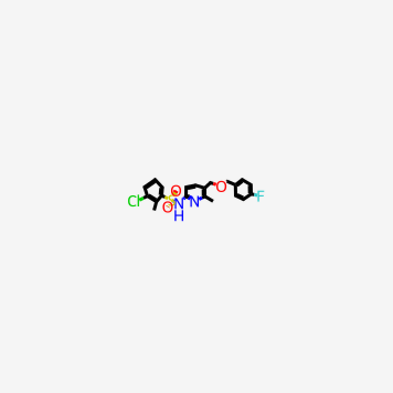 Cc1nc(NS(=O)(=O)c2cccc(Cl)c2C)ccc1COCc1ccc(F)cc1